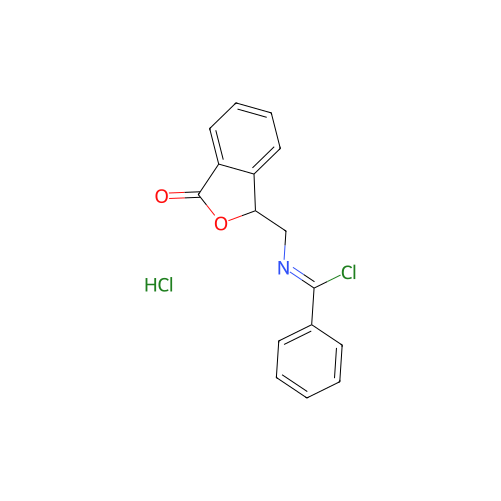 Cl.O=C1OC(CN=C(Cl)c2ccccc2)c2ccccc21